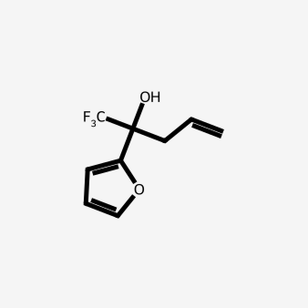 C=CCC(O)(c1ccco1)C(F)(F)F